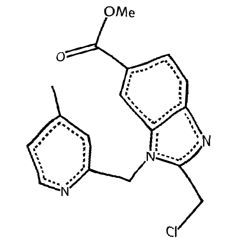 COC(=O)c1ccc2nc(CCl)n(Cc3cc(C)ccn3)c2c1